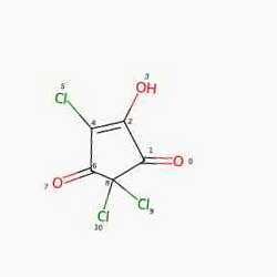 O=C1C(O)=C(Cl)C(=O)C1(Cl)Cl